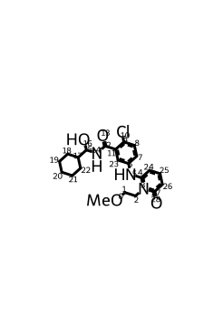 COCCn1c(Nc2ccc(Cl)c(C(=O)NC(O)C3CCCCC3)c2)cccc1=O